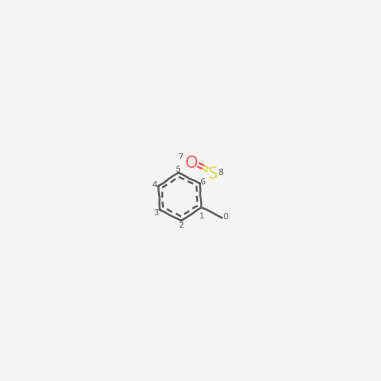 Cc1ccccc1.O=S